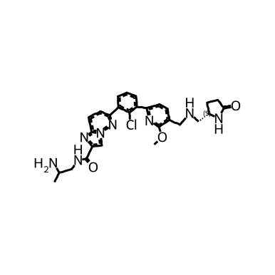 COc1nc(-c2cccc(-c3ccc4nc(C(=O)NCC(C)N)cn4n3)c2Cl)ccc1CNC[C@@H]1CCC(=O)N1